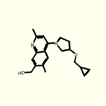 Cc1cc(N2CCC(OCC3CC3)C2)c2cc(C)c(CO)cc2n1